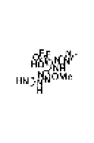 COc1nc(NC2CCNCC2)ncc1C(=O)Nc1cn2cc(C)nc2cn1.O=C(O)C(F)(F)F